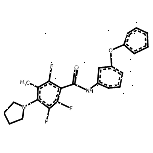 Cc1c(F)c(C(=O)Nc2cccc(Oc3ccccc3)c2)c(F)c(F)c1N1CCCC1